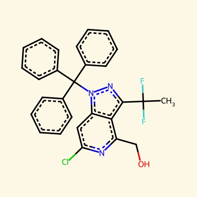 CC(F)(F)c1nn(C(c2ccccc2)(c2ccccc2)c2ccccc2)c2cc(Cl)nc(CO)c12